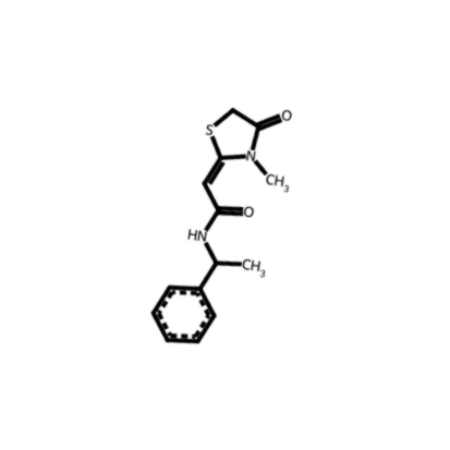 CC(NC(=O)C=C1SCC(=O)N1C)c1ccccc1